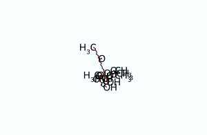 CCCCCCCC(=O)CCCCCC/C=C/[C@H](C(=O)N[C@@H](Cc1ccc(O)cc1)C(=O)OC)[C@@](O)(CC(=O)O)C(=O)OCOC(=O)C(C)(C)C